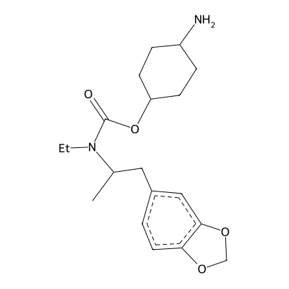 CCN(C(=O)OC1CCC(N)CC1)C(C)Cc1ccc2c(c1)OCO2